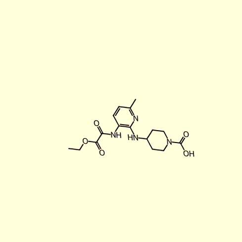 CCOC(=O)C(=O)Nc1ccc(C)nc1NC1CCN(C(=O)O)CC1